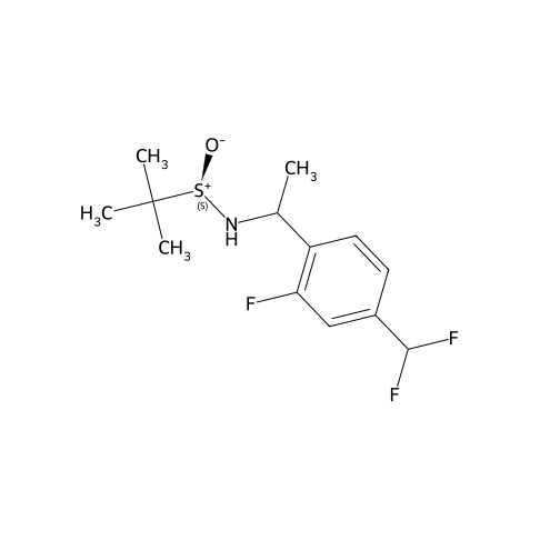 CC(N[S@+]([O-])C(C)(C)C)c1ccc(C(F)F)cc1F